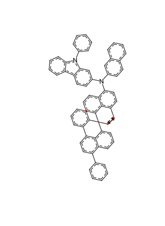 c1ccc(-c2ccc3c4c(cccc24)C2(c4ccccc4-3)c3ccccc3-c3ccc(N(c4ccc5ccccc5c4)c4ccc5c6ccccc6n(-c6ccccc6)c5c4)c4cccc2c34)cc1